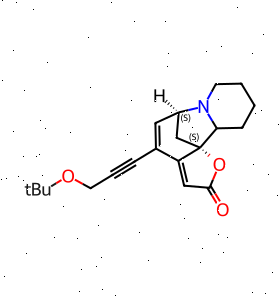 CC(C)(C)OCC#CC1=C[C@@H]2C[C@@]3(OC(=O)C=C13)C1CCCCN12